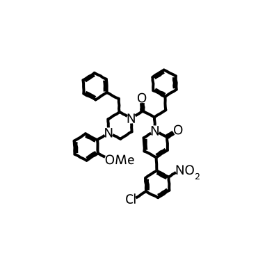 COc1ccccc1N1CCN(C(=O)C(Cc2ccccc2)n2ccc(-c3cc(Cl)ccc3[N+](=O)[O-])cc2=O)C(Cc2ccccc2)C1